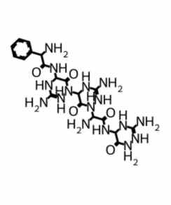 N=C(N)NC(NC(=O)C(N)NC(=O)C(NC(=N)N)NC(=O)C(NC(=N)N)NC(=O)C(N)c1ccccc1)C(N)=O